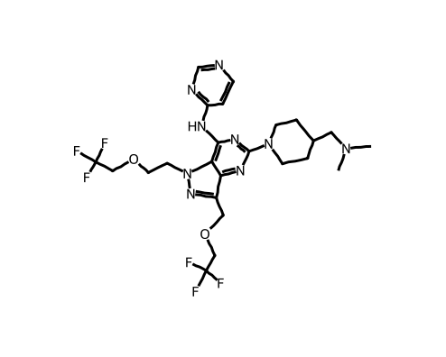 CN(C)CC1CCN(c2nc(Nc3ccncn3)c3c(n2)c(COCC(F)(F)F)nn3CCOCC(F)(F)F)CC1